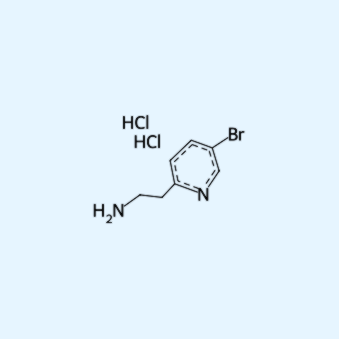 Cl.Cl.NCCc1ccc(Br)cn1